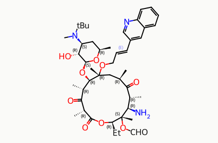 CC[C@H]1OC(=O)[C@H](C)C(=O)[C@H](C)[C@@H](O[C@@H]2O[C@H](C)C[C@H](N(C)C(C)(C)C)[C@H]2O)[C@](C)(OC/C=C/c2cnc3ccccc3c2)C[C@@H](C)C(=O)[C@H](C)[C@@H](N)[C@]1(C)OC=O